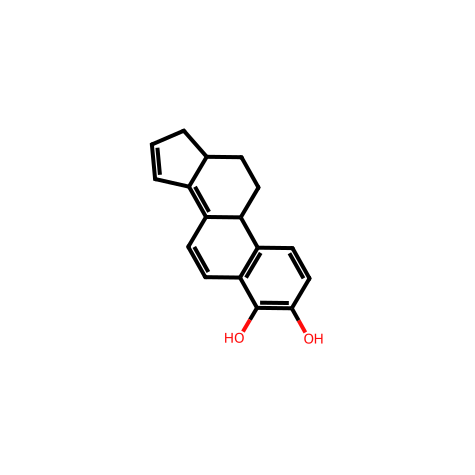 Oc1ccc2c(c1O)C=CC1=C3C=CCC3CCC12